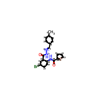 Cc1ccc(/C=N/NC(=O)c2cc(Br)ccc2NC(=O)c2cccs2)cc1